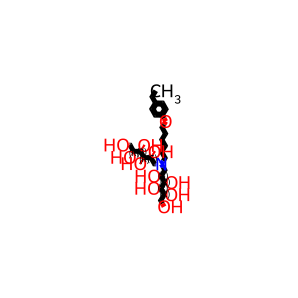 CCc1ccc(OCCCCCCN(C[C@H](O)[C@@H](O)[C@H](O)[C@H](O)CO)C[C@H](O)[C@@H](O)[C@H](O)[C@H](O)CO)cc1